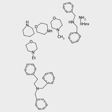 C1CCNCC1.C1COCCN1.CCCCCCN.CCN1CCOCC1.CN1CCOCC1.c1ccc(CCN(Cc2ccccc2)Cc2ccccc2)cc1.c1ccc(CNCc2ccccc2)cc1